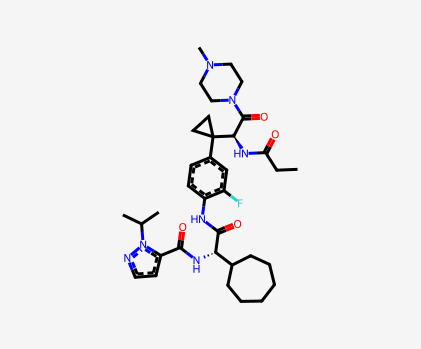 CCC(=O)N[C@H](C(=O)N1CCN(C)CC1)C1(c2ccc(NC(=O)[C@@H](NC(=O)c3ccnn3C(C)C)C3CCCCCC3)c(F)c2)CC1